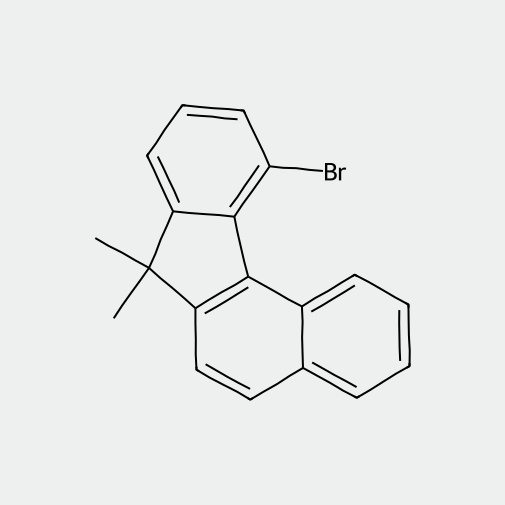 CC1(C)c2cccc(Br)c2-c2c1ccc1ccccc21